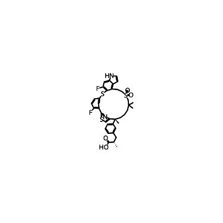 C[C@@H](Cc1cccc([C@@]2(C)CCCC(C)(C)CS(=O)(=O)CCc3c(c(F)cc4[nH]ccc34)Sc3ccc(F)c(c3)-c3nc2cs3)c1)C(=O)O